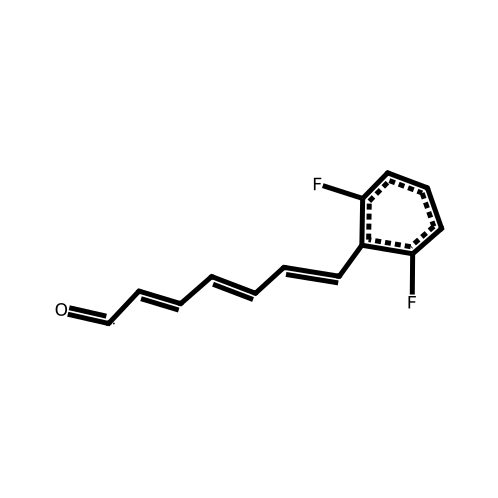 O=[C]C=CC=CC=Cc1c(F)cccc1F